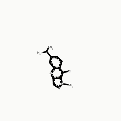 CC(C)c1ccc2c(Cl)c3c(cnn3C)nc2c1